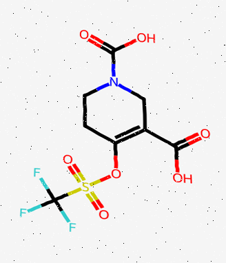 O=C(O)C1=C(OS(=O)(=O)C(F)(F)F)CCN(C(=O)O)C1